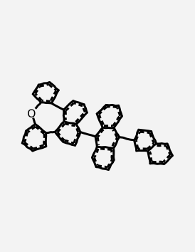 c1ccc2c(c1)Oc1ccccc1-c1ccc(-c3c4ccccc4c(-c4ccc5ccccc5c4)c4ccccc34)c3cccc-2c13